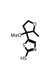 COC1(c2cnc(S)s2)CCOC1C